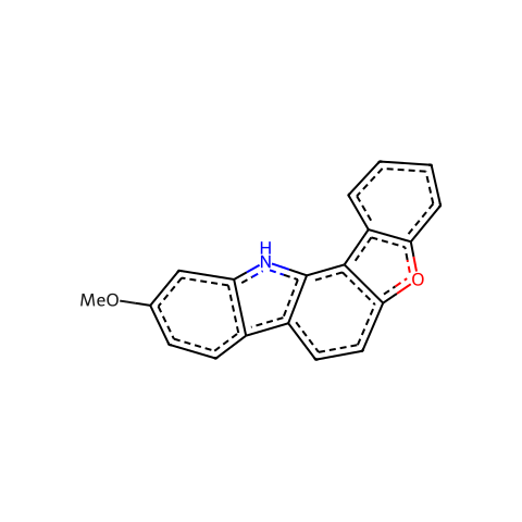 COc1ccc2c(c1)[nH]c1c2ccc2oc3ccccc3c21